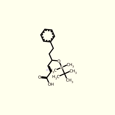 CC(C)(C)[Si](C)(C)OC(/C=C/C(=O)O)CCc1ccccc1